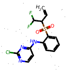 C=CC(C(F)F)S(=O)(=O)c1ccccc1Nc1ccnc(Cl)n1